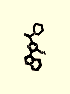 Nc1sc(C(=O)N2CCCCC2)nc1-c1cnn2ccccc12